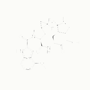 COc1cccc2[nH]c(C(=O)N3C[C@]4(C[C@H]3C(=O)N[C@@H](C[C@@H]3CCNC3=O)C(=O)CO)CC4(F)F)cc12